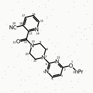 CCCOc1ccnc(N2CCN(C(=O)c3ncccc3C#N)CC2)n1